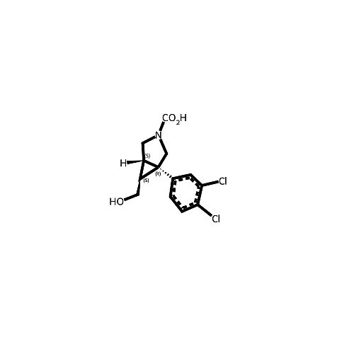 O=C(O)N1C[C@H]2[C@H](CO)[C@]2(c2ccc(Cl)c(Cl)c2)C1